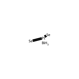 [BiH3].[Se]=[Pt]=[Se]